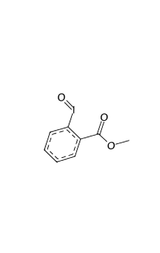 COC(=O)c1ccccc1I=O